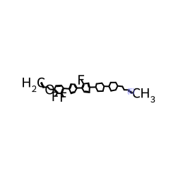 C=CCOc1ccc(-c2ccc(-c3ccc(C4CCC(C5CCC(CC/C=C/C)CC5)CC4)cc3F)cc2)c(F)c1F